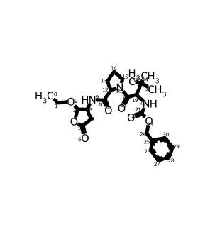 CCOC1OC(=O)CC1NC(=O)C1CCCN1C(=O)C(NC(=O)OCc1ccccc1)C(C)(C)C